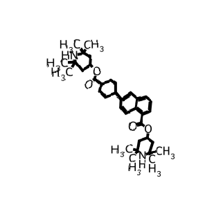 CC1(C)CC(OC(=O)c2cccc3cc(C4CCC(C(=O)OC5CC(C)(C)NC(C)(C)C5)CC4)ccc23)CC(C)(C)N1